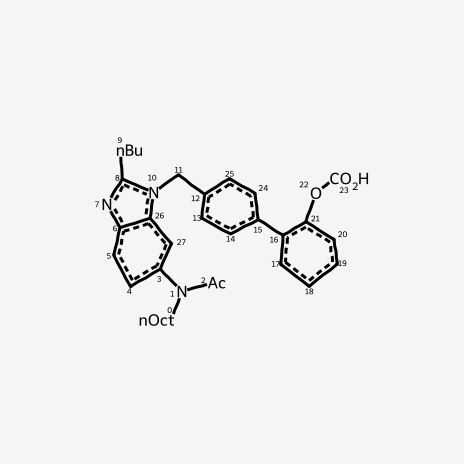 CCCCCCCCN(C(C)=O)c1ccc2nc(CCCC)n(Cc3ccc(-c4ccccc4OC(=O)O)cc3)c2c1